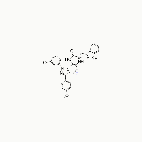 COc1ccc(-c2nn(-c3cccc(Cl)c3)cc2/C=C\C(=O)N[C@@H](Cc2c[nH]c3ccccc23)C(=O)O)cc1